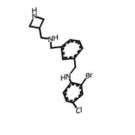 Clc1ccc(NCc2cccc(CNCC3CNC3)c2)c(Br)c1